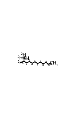 [2H]C(CCCCCCCCCC)C([2H])([2H])[2H]